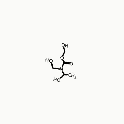 CC(O)N(CO)C(=O)OCO